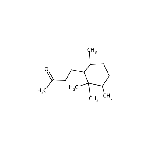 CC(=O)CCC1C(C)CCC(C)C1(C)C